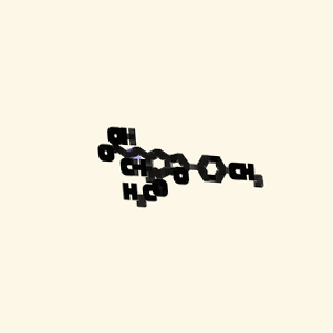 COc1cc(/C=C(\C)C(=O)O)cc2cc(-c3ccc(C)cc3)oc12